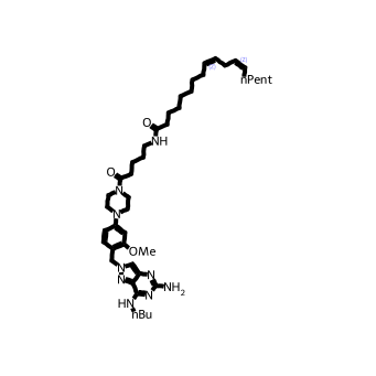 CCCCC/C=C\C/C=C\CCCCCCCC(=O)NCCCCC(=O)N1CCN(c2ccc(Cn3cc4nc(N)nc(NCCCC)c4n3)c(OC)c2)CC1